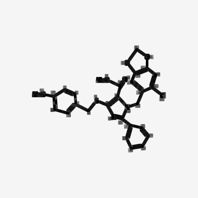 COC(=O)c1c(SCc2ccc(OC)cc2)nc(-c2ccccc2)n1Cc1cc2c(cc1Cl)OCO2